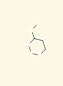 CCOC1CCOOO1